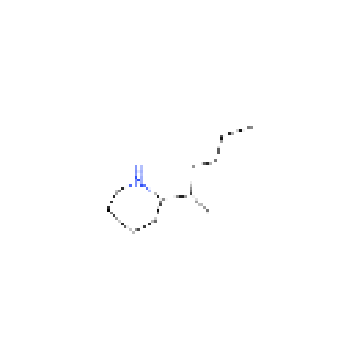 CCCCC(C)C1CCCCN1